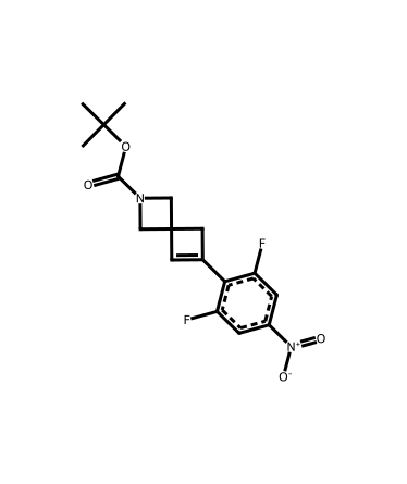 CC(C)(C)OC(=O)N1CC2(C=C(c3c(F)cc([N+](=O)[O-])cc3F)C2)C1